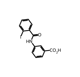 O=C(O)c1cccc(NC(=O)c2ccccc2I)c1